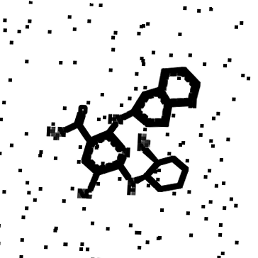 N#Cc1cc(C(N)=O)c(Nc2ccc3ncccc3c2)nc1N[C@@H]1CCCC[C@@H]1N